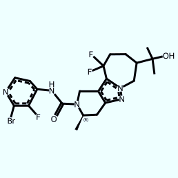 C[C@@H]1Cc2nn3c(c2CN1C(=O)Nc1ccnc(Br)c1F)C(F)(F)CCC(C(C)(C)O)C3